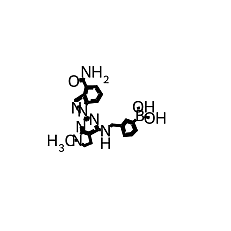 CN1CCc2c(NCc3cccc(B(O)O)c3)nc(-n3ncc4c(C(N)=O)cccc43)nc21